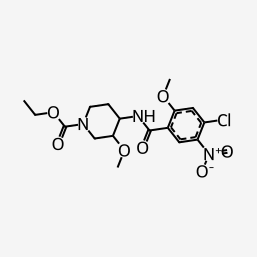 CCOC(=O)N1CCC(NC(=O)c2cc([N+](=O)[O-])c(Cl)cc2OC)C(OC)C1